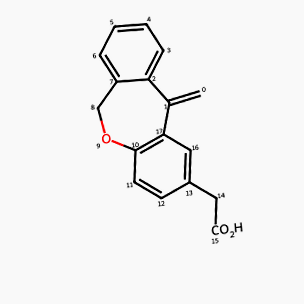 C=C1c2ccccc2COc2ccc(CC(=O)O)cc21